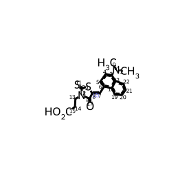 CN(C)c1ccc(/C=C2\SC(=S)N(CCC(=O)O)C2=O)c2ccccc12